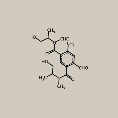 Cc1cc(C=O)c(C(=O)N(C)C(C)CO)cc1C(=O)N(C=O)C(C)CO